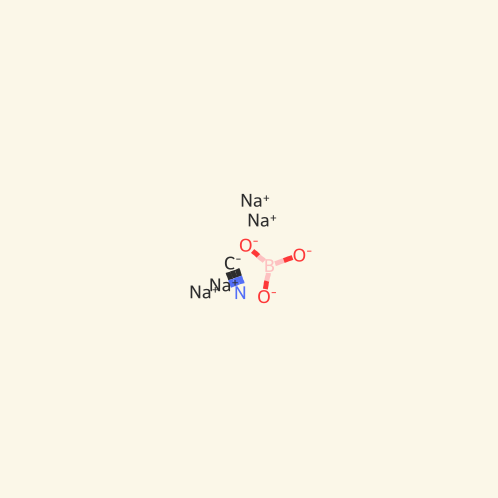 [C-]#N.[Na+].[Na+].[Na+].[Na+].[O-]B([O-])[O-]